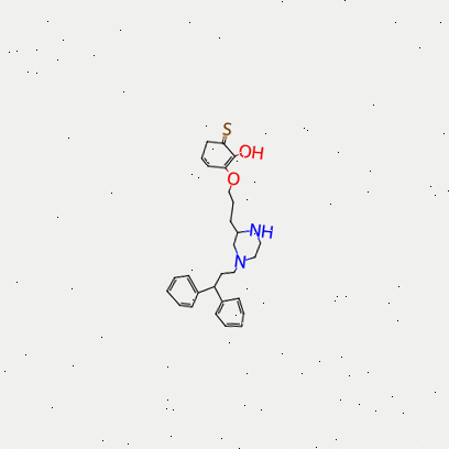 OC1=C(OCCCC2CN(CCC(c3ccccc3)c3ccccc3)CCN2)C=CCC1=S